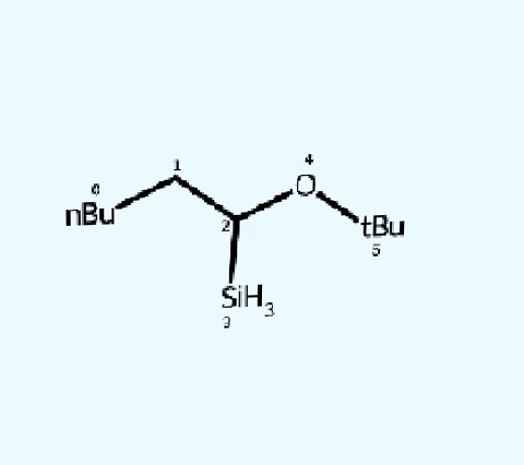 CCCCCC([SiH3])OC(C)(C)C